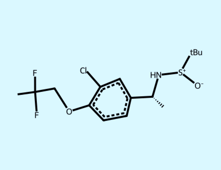 C[C@@H](N[S+]([O-])C(C)(C)C)c1ccc(OCC(C)(F)F)c(Cl)c1